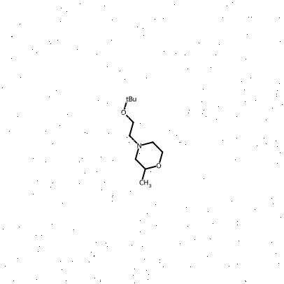 CC1CN(CCOC(C)(C)C)CCO1